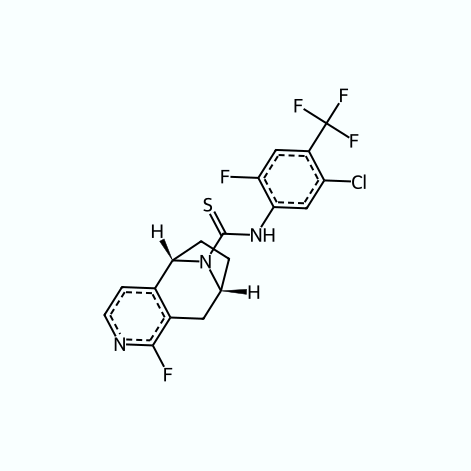 Fc1cc(C(F)(F)F)c(Cl)cc1NC(=S)N1[C@@H]2CC[C@H]1c1ccnc(F)c1C2